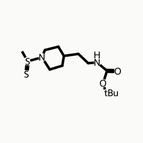 CS(=S)N1CCC(CCNC(=O)OC(C)(C)C)CC1